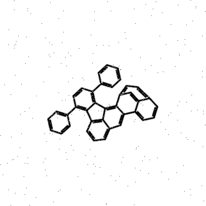 c1ccc(-c2ccc(-c3ccccc3)c3c2c2cccc4cc5c6cccc7ccc(cc76)c5c3c42)cc1